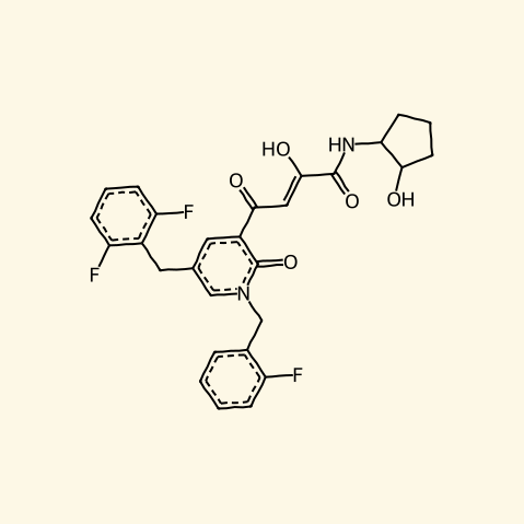 O=C(NC1CCCC1O)C(O)=CC(=O)c1cc(Cc2c(F)cccc2F)cn(Cc2ccccc2F)c1=O